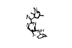 C/N=C(/c1ncc(F)c(NC2CCC3CC32)n1)c1cc(C)cnc1C